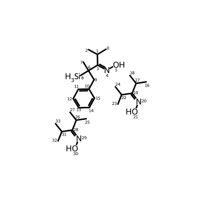 CC(C)C(=NO)C(C)([SiH3])Cc1ccccc1.CC(C)C(=NO)C(C)C.CC(C)C(=NO)C(C)C